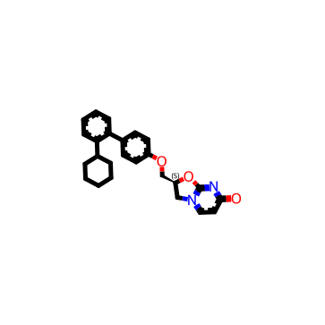 O=c1ccn2c(n1)O[C@H](COc1ccc(-c3ccccc3C3CCCCC3)cc1)C2